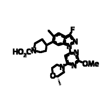 COc1nc(N2CCO[C@@H](C)C2)cc(-n2nc(F)c3cc(C)c(C4CCN(C(=O)O)CC4)cc32)n1